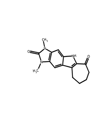 Cn1c(=O)n(C)c2cc3c4c([nH]c3cc21)C(=O)CCCC4